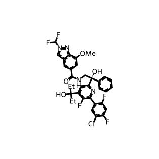 CCC(O)(CC)c1cc([C@@](O)(CNC(=O)c2cc(OC)c3nn(C(F)F)cc3c2)c2ccccc2)nc(-c2cc(Cl)c(F)cc2F)c1F